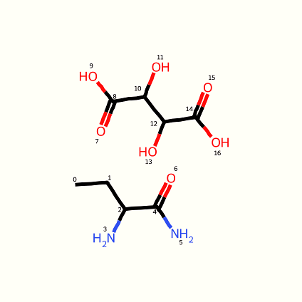 CCC(N)C(N)=O.O=C(O)C(O)C(O)C(=O)O